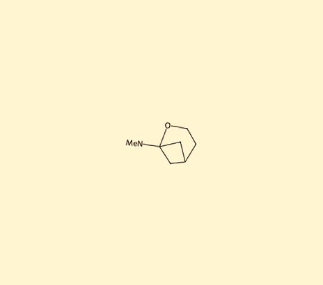 CNC12CC(CCO1)C2